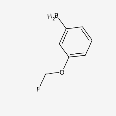 Bc1cccc(OCF)c1